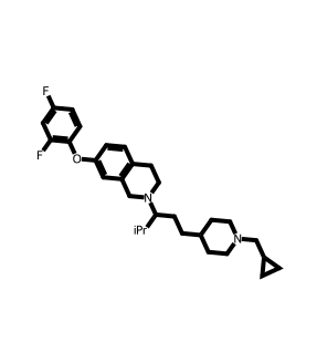 CC(C)C(CCC1CCN(CC2CC2)CC1)N1CCc2ccc(Oc3ccc(F)cc3F)cc2C1